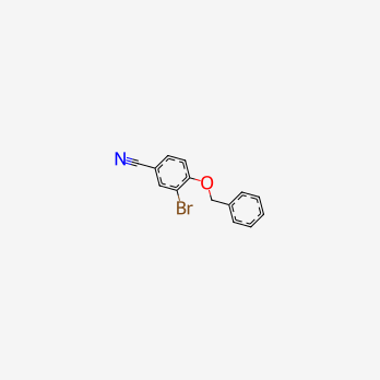 N#Cc1ccc(OCc2ccccc2)c(Br)c1